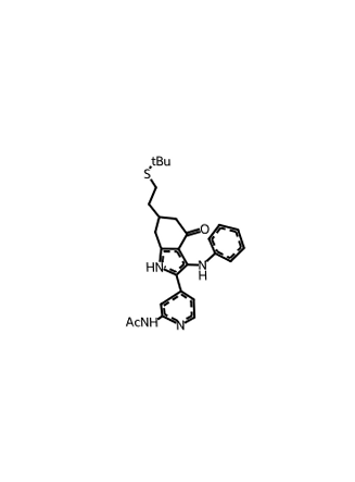 CC(=O)Nc1cc(-c2[nH]c3c(c2Nc2ccccc2)C(=O)CC(CCSC(C)(C)C)C3)ccn1